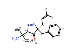 CC(C)=CC[C@@]1(Cc2ccccc2)N=CC(C(N)(C(=O)O)C(C)(C)C)C1=O